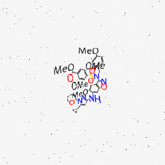 COC(=O)c1cc(OC)c(S(=O)(=O)N(Cc2ccc(OC)cc2)c2noc3cc(Nc4cc(C5CC5)n(C5CCCCO5)n4)c(OC)cc23)c(OC)c1